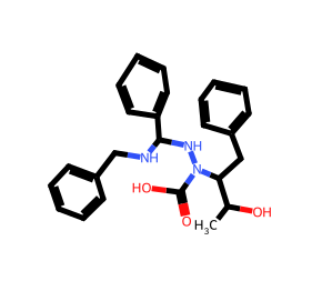 CC(O)C(Cc1ccccc1)N(NC(NCc1ccccc1)c1ccccc1)C(=O)O